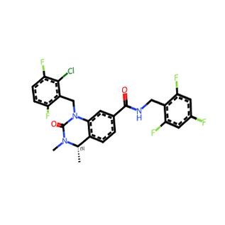 C[C@H]1c2ccc(C(=O)NCc3c(F)cc(F)cc3F)cc2N(Cc2c(F)ccc(F)c2Cl)C(=O)N1C